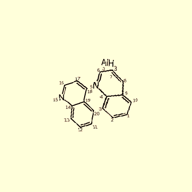 [AlH3].c1ccc2ncccc2c1.c1ccc2ncccc2c1